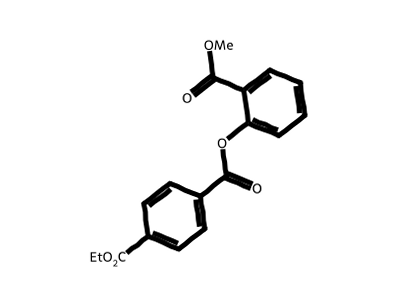 CCOC(=O)c1ccc(C(=O)Oc2ccccc2C(=O)OC)cc1